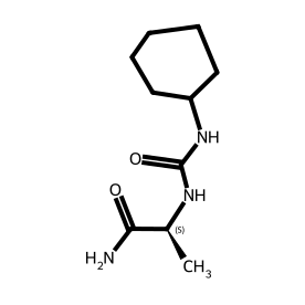 C[C@H](NC(=O)NC1CCCCC1)C(N)=O